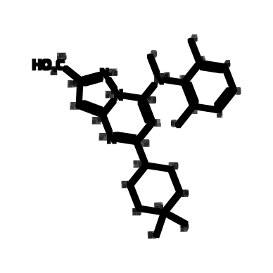 Cc1cccc(C)c1N(C)c1cc(C2CCC(C)(C)CC2)nc2cc(C(=O)O)nn12